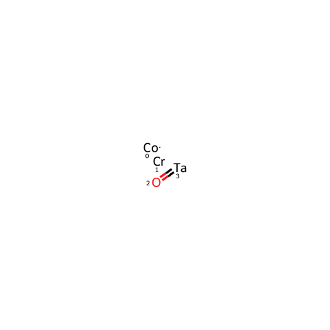 [Co].[Cr].[O]=[Ta]